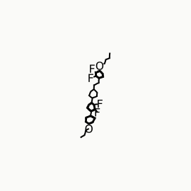 CCCCOc1ccc(CCC2CCC(c3ccc(-c4ccc(OCCC)cc4)c(F)c3F)CC2)c(F)c1F